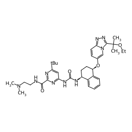 CCOC(C)(C)c1nnc2ccc(O[C@@H]3CC[C@H](NC(=O)Nc4cc(C(C)(C)C)nc(C(=O)NCCN(C)C)n4)c4ccccc43)cn12